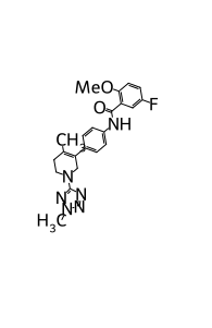 COc1ccc(F)cc1C(=O)Nc1ccc(C2=C(C)CCN(c3nnn(C)n3)C2)cc1